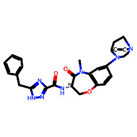 CN1C(=O)[C@@H](NC(=O)c2n[nH]c(Cc3ccccc3)n2)COc2ccc(N3CCN4CCC3CC4)cc21